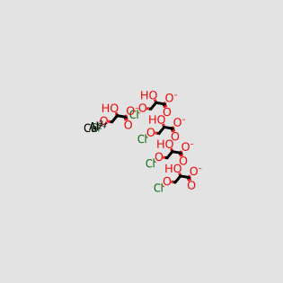 O=C([O-])C(O)COCl.O=C([O-])C(O)COCl.O=C([O-])C(O)COCl.O=C([O-])C(O)COCl.O=C([O-])C(O)COCl.[Al+3].[Ca+2]